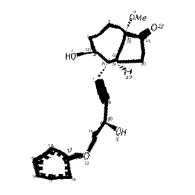 CO[C@@]12CC[C@H](O)[C@@H](C#C[C@@H](O)COc3ccccc3)[C@@H]1CC2=O